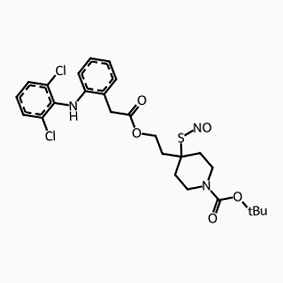 CC(C)(C)OC(=O)N1CCC(CCOC(=O)Cc2ccccc2Nc2c(Cl)cccc2Cl)(SN=O)CC1